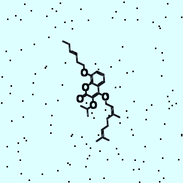 CCC=CCCOc1cccc2c(OCC=C(C)CCC=C(C)C)c(OC(C)C)c(=O)oc12